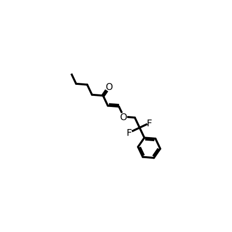 CCCCC(=O)C=COCC(F)(F)c1ccccc1